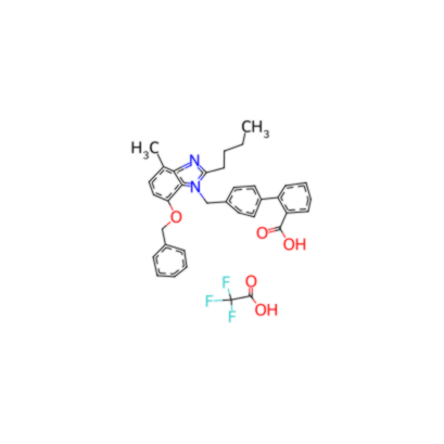 CCCCc1nc2c(C)ccc(OCc3ccccc3)c2n1Cc1ccc(-c2ccccc2C(=O)O)cc1.O=C(O)C(F)(F)F